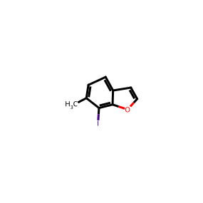 Cc1ccc2ccoc2c1I